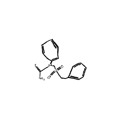 NC(=S)N(c1ccccc1)S(=O)(=O)Cc1ccccc1